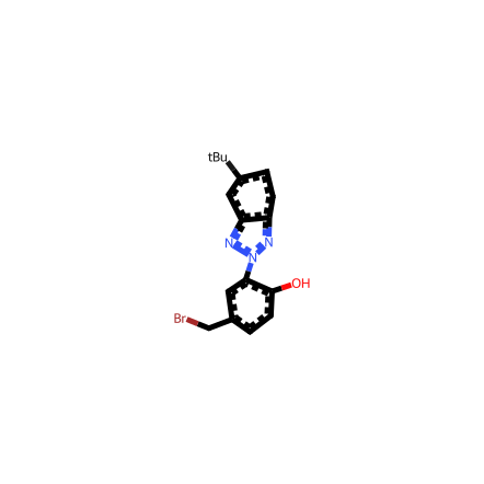 CC(C)(C)c1ccc2nn(-c3cc(CBr)ccc3O)nc2c1